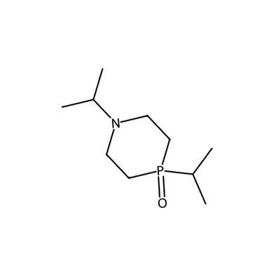 CC(C)N1CCP(=O)(C(C)C)CC1